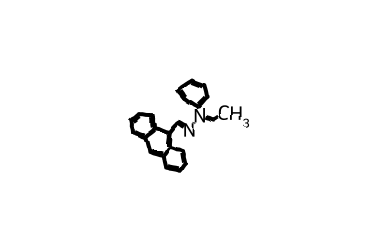 CCN(N=Cc1c2ccccc2cc2ccccc12)c1ccccc1